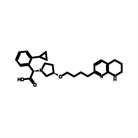 O=C(O)[C@H](c1ccccc1C1CC1)N1CC[C@H](OCCCCc2ccc3c(n2)NCCC3)C1